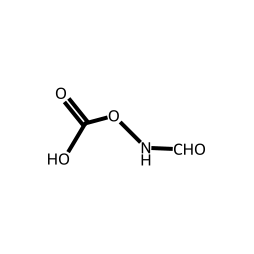 O=CNOC(=O)O